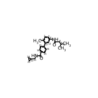 Cc1ccc(NC(=O)CC(C)C)cc1-c1ccc(C(=O)NCC2CC2)cc1